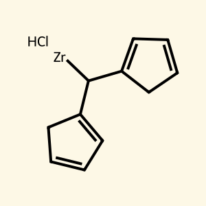 Cl.[Zr][CH](C1=CC=CC1)C1=CC=CC1